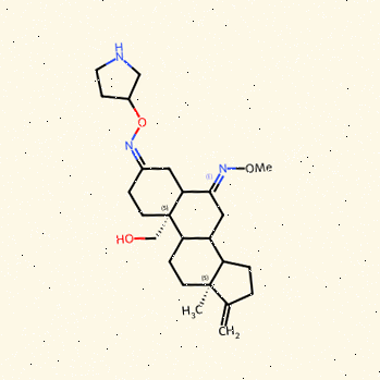 C=C1CCC2C3C/C(=N\OC)C4CC(=NOC5CCNC5)CC[C@]4(CO)C3CC[C@]12C